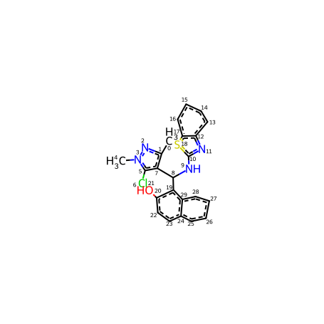 Cc1nn(C)c(Cl)c1C(Nc1nc2ccccc2s1)c1c(O)ccc2ccccc12